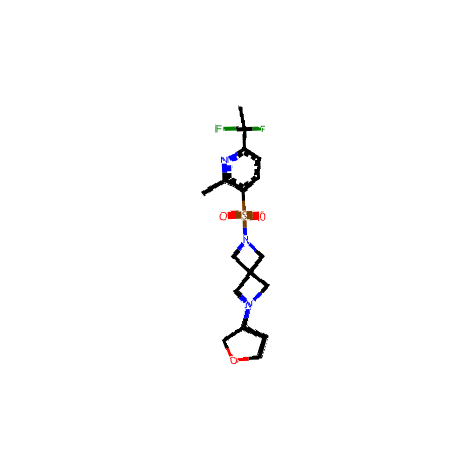 Cc1nc(C(C)(F)F)ccc1S(=O)(=O)N1CC2(CN(C3CCOC3)C2)C1